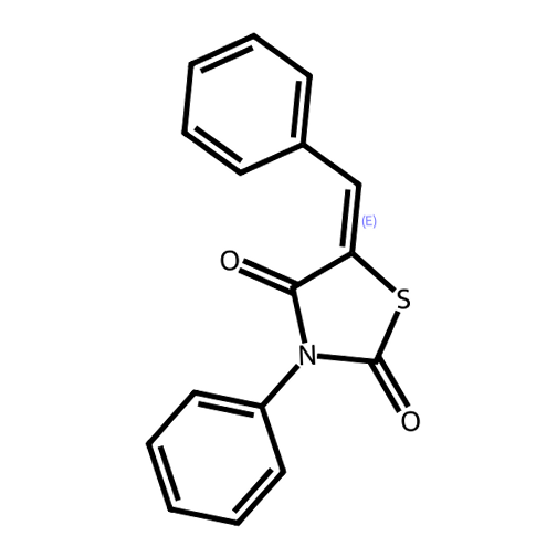 O=C1S/C(=C/c2ccccc2)C(=O)N1c1ccccc1